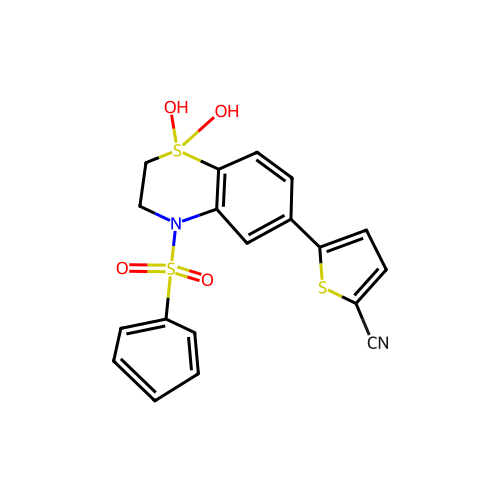 N#Cc1ccc(-c2ccc3c(c2)N(S(=O)(=O)c2ccccc2)CCS3(O)O)s1